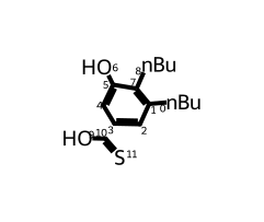 CCCCc1cccc(O)c1CCCC.OC=S